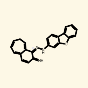 N=C1C=CC2=CC=CCC=C2/C1=N/Nc1ccc2c(c1)oc1ccccc12